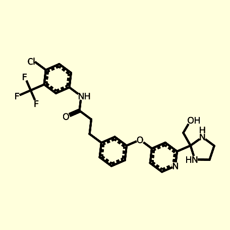 O=C(CCc1cccc(Oc2ccnc(C3(CO)NCCN3)c2)c1)Nc1ccc(Cl)c(C(F)(F)F)c1